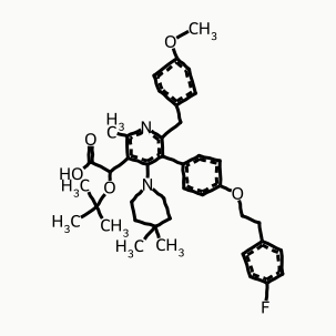 COc1ccc(Cc2nc(C)c(C(OC(C)(C)C)C(=O)O)c(N3CCC(C)(C)CC3)c2-c2ccc(OCCc3ccc(F)cc3)cc2)cc1